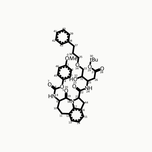 COc1ccc(OC(=O)NC2CCc3cccc4c3N(C2=O)C(C(=O)NC(CC(=O)OC(C)(C)C)C(O)COCCCc2ccccc2)C4)cc1